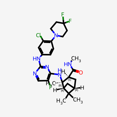 CNC(=O)[C@H]1C[C@H]2C[C@H](C2(C)C)[C@@]1(C)Nc1nc(Nc2ccc(N3CCC(F)(F)CC3)c(Cl)c2)ncc1F